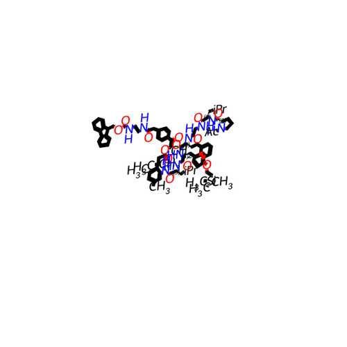 C=C(OC(=O)CC(C)(C)c1c(C)cc(C)cc1NC(=O)[C@H](CC(C)C)NC(=O)[C@H](Cc1ccc(OCC[Si](C)(C)C)cc1)NC(=O)[C@H](CCc1ccccc1)NC(=O)CNC(=O)[C@H](CC(C)C)NC(=O)[C@@H]1CCCN1C(C)=O)C(=O)c1ccc(CC(=O)NCCNC(=O)OCC2c3ccccc3-c3ccccc32)cc1